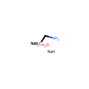 NCC(=O)O.O.[NaH].[NaH]